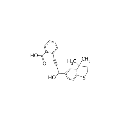 CC1(C)CCSc2ccc(C(O)C#Cc3ccccc3C(=O)O)cc21